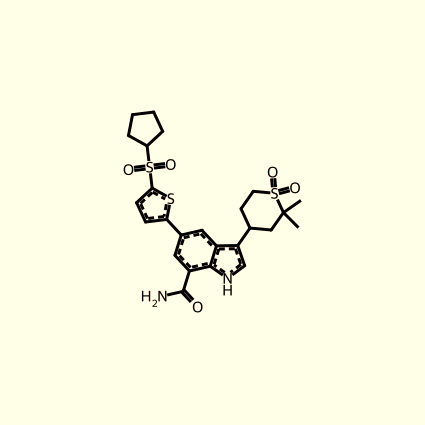 CC1(C)CC(c2c[nH]c3c(C(N)=O)cc(-c4ccc(S(=O)(=O)C5CCCC5)s4)cc23)CCS1(=O)=O